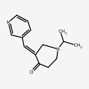 CC(C)N1CCC(=O)/C(=C/c2cccnc2)C1